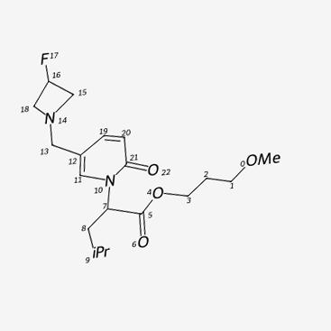 COCCCOC(=O)C(CC(C)C)n1cc(CN2CC(F)C2)ccc1=O